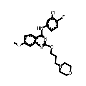 COc1ccc2c(Nc3ccc(F)c(Cl)c3)nc(OCCCN3CCOCC3)nc2c1